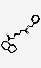 O=C(CCCSC(=O)N1CCCC2CCCCC21)OCc1ccccc1